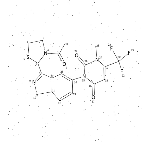 CC(=O)N1CCSC1c1nsc2ccc(-n3c(=O)cc(C(F)(F)F)n(C)c3=O)cc12